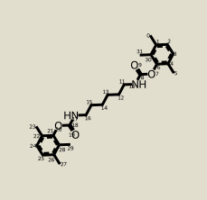 Cc1ccc(C)c(OC(=O)NCCCCCCNC(=O)Oc2c(C)ccc(C)c2C)c1C